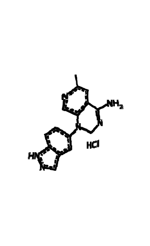 Cc1cc2c(cn1)N(c1ccc3[nH]ncc3c1)CN=C2N.Cl